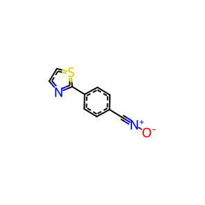 [O-][N+]#Cc1ccc(-c2nccs2)cc1